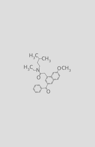 CCN(CCC(C)C)C(=O)Cc1cc(C(=O)c2ccccc2)cc2ccc(OC)cc12